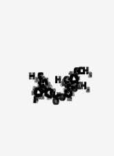 COc1cc(C)c(S(=O)(=O)N2CCC(OCC(=O)N3CCC(c4cccc(F)c4)(N4CCN(C)CC4)CC3)C2)c(C)c1